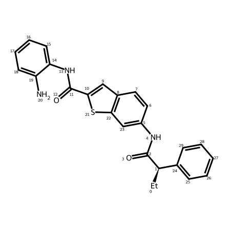 CC[C@@H](C(=O)Nc1ccc2cc(C(=O)Nc3ccccc3N)sc2c1)c1ccccc1